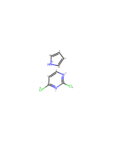 Clc1ccnc(Cl)n1.c1cc[nH]c1